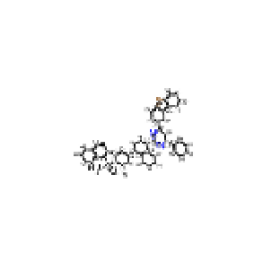 CC1(C)c2ccc(-c3ccc(-c4nc(-c5ccccc5)cc(-c5ccc6sc7ccccc7c6c5)n4)c4ccccc34)cc2-c2ccc3ccccc3c21